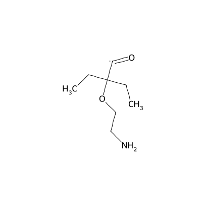 CCC([C]=O)(CC)OCCN